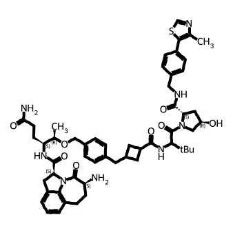 Cc1ncsc1-c1ccc(CNC(=O)[C@@H]2C[C@@H](O)CN2C(=O)C(NC(=O)C2CC(Cc3ccc(CO[C@H](C)[C@H](CCC(N)=O)NC(=O)[C@@H]4Cc5cccc6c5N4C(=O)[C@@H](N)CC6)cc3)C2)C(C)(C)C)cc1